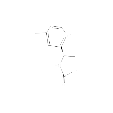 Cc1ccnc([C@H]2COC(=O)N2)c1